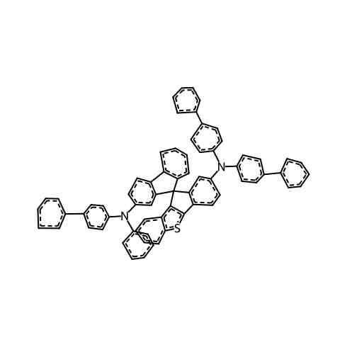 c1ccc(-c2ccc(N(c3ccccc3)c3ccc4c(c3)C3(c5ccccc5-4)c4cc(N(c5ccc(-c6ccccc6)cc5)c5ccc(-c6ccccc6)cc5)ccc4-c4sc5ccccc5c43)cc2)cc1